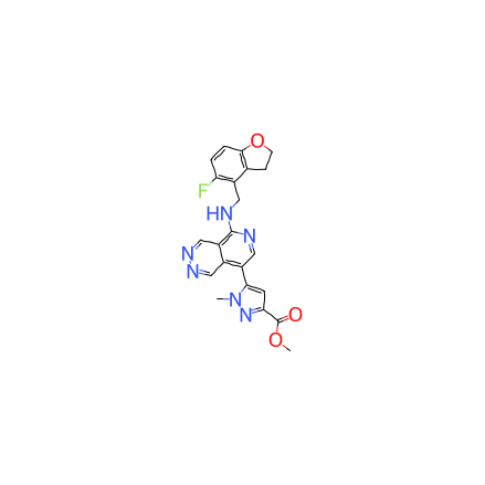 COC(=O)c1cc(-c2cnc(NCc3c(F)ccc4c3CCO4)c3cnncc23)n(C)n1